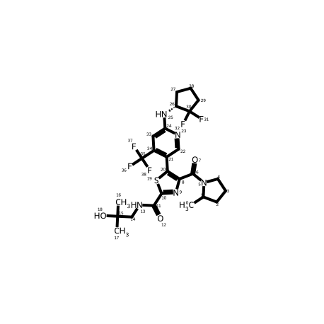 CC1CCCN1C(=O)c1nc(C(=O)NCC(C)(C)O)sc1-c1cnc(N[C@@H]2CCCC2(F)F)cc1C(F)(F)F